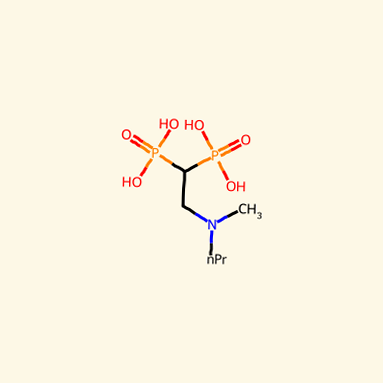 CCCN(C)CC(P(=O)(O)O)P(=O)(O)O